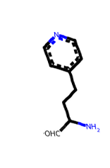 NC([C]=O)CCc1ccncc1